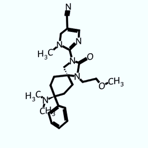 COCCN1C(=O)N(C2=NC=C(C#N)CN2C)C[C@]12CC[C@](c1ccccc1)(N(C)C)CC2